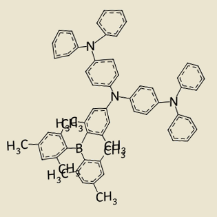 Cc1cc(C)c(B(c2c(C)cc(C)cc2C)c2c(C)cc(N(c3ccc(N(c4ccccc4)c4ccccc4)cc3)c3ccc(N(c4ccccc4)c4ccccc4)cc3)cc2C)c(C)c1